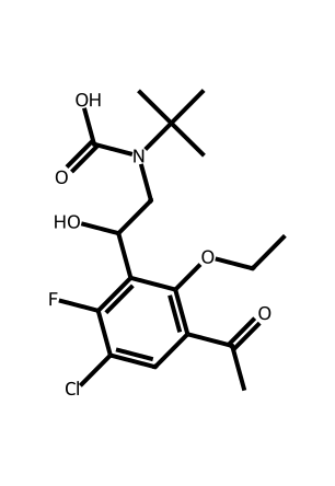 CCOc1c(C(C)=O)cc(Cl)c(F)c1C(O)CN(C(=O)O)C(C)(C)C